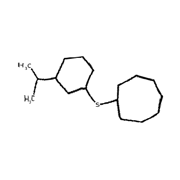 CC(C)C1CCCC(SC2CCCCCCC2)C1